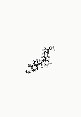 CC1C2CC3CC1CC(C1(NC(=O)c4ncn5c(=O)n(C)nnc45)CCCC1)(C3)C2